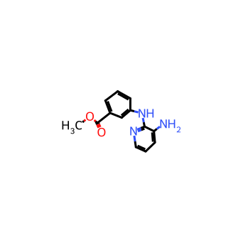 COC(=O)c1cccc(Nc2ncccc2N)c1